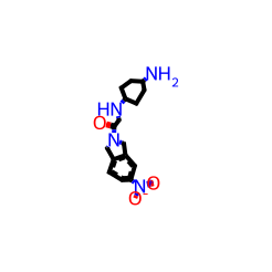 NC1CCC(NCC(=O)N2Cc3ccc([N+](=O)[O-])cc3C2)CC1